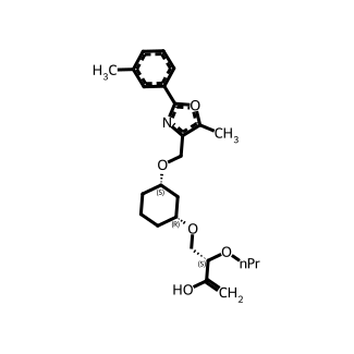 C=C(O)[C@H](CO[C@@H]1CCC[C@H](OCc2nc(-c3cccc(C)c3)oc2C)C1)OCCC